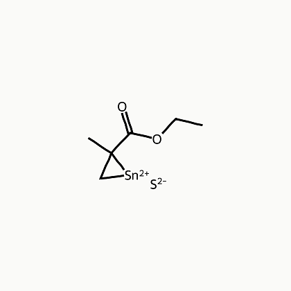 CCOC(=O)[C]1(C)[CH2][Sn+2]1.[S-2]